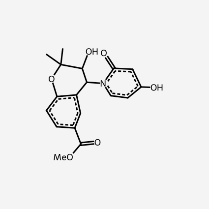 COC(=O)c1ccc2c(c1)C(n1ccc(O)cc1=O)C(O)C(C)(C)O2